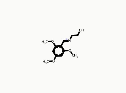 COc1cc(OC)c(/C=N/CCO)c(OC)c1